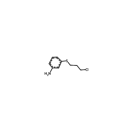 Nc1cccc(SCCCCl)c1